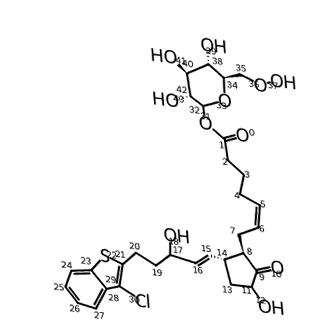 O=C(CCC/C=C\C[C@H]1C(=O)C(O)C[C@@H]1/C=C/C(O)CCc1sc2ccccc2c1Cl)OC1O[C@H](COO)[C@@H](O)[C@H](O)[C@H]1O